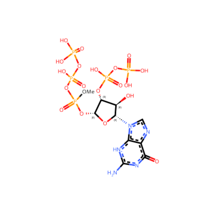 COP(=O)(O[C@H]1O[C@@H](n2cnc3c(=O)nc(N)[nH]c32)[C@H](O)[C@H]1OP(=O)(O)OP(=O)(O)O)OP(=O)(O)OP(=O)(O)O